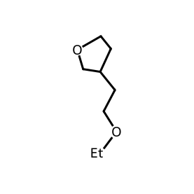 CCOCCC1CCOC1